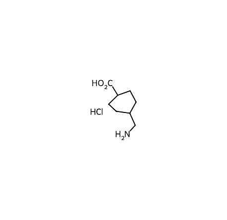 Cl.NCC1CCC(C(=O)O)CC1